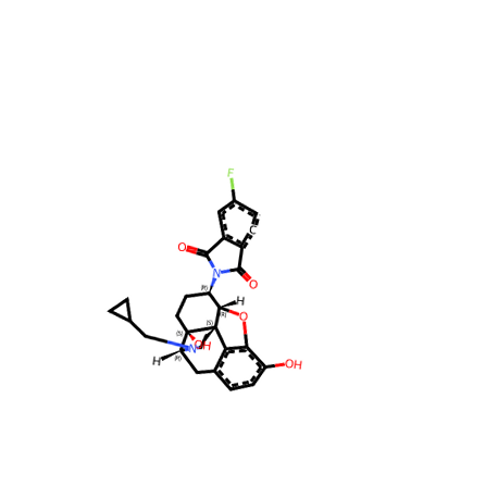 O=C1c2ccc(F)cc2C(=O)N1[C@@H]1CC[C@@]2(O)[C@H]3Cc4ccc(O)c5c4[C@@]2(CCN3CC2CC2)[C@H]1O5